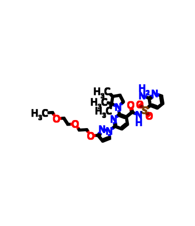 CCOCCOCCOc1ccn(-c2ccc(C(=O)NS(=O)(=O)c3cccnc3N)c(N3CCC(C)C3(C)C)n2)n1